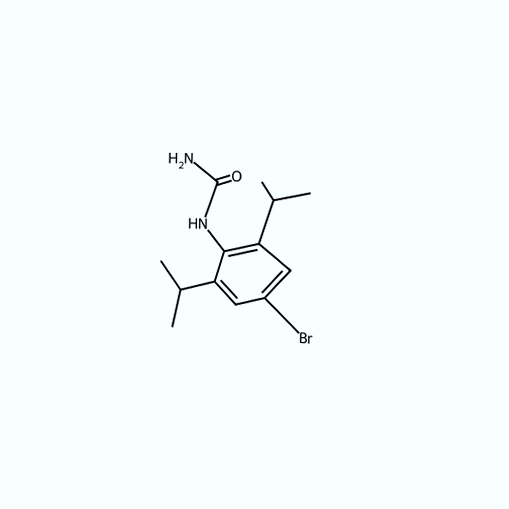 CC(C)c1cc(Br)cc(C(C)C)c1NC(N)=O